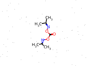 CC(C)=NOC(=O)ON=C(C)C